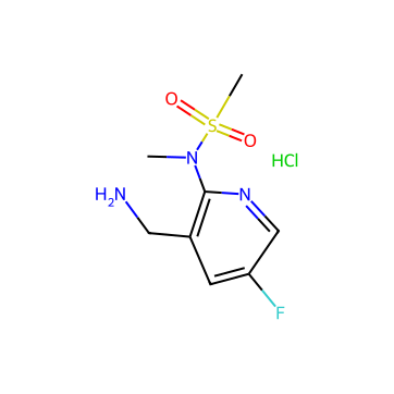 CN(c1ncc(F)cc1CN)S(C)(=O)=O.Cl